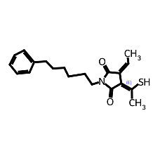 CC=C1C(=O)N(CCCCCCc2ccccc2)C(=O)/C1=C(\C)S